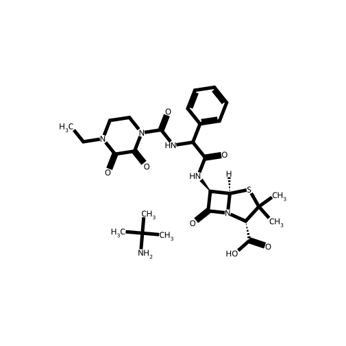 CC(C)(C)N.CCN1CCN(C(=O)NC(C(=O)N[C@@H]2C(=O)N3[C@@H]2SC(C)(C)[C@@H]3C(=O)O)c2ccccc2)C(=O)C1=O